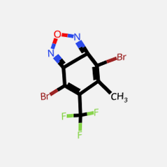 Cc1c(C(F)(F)F)c(Br)c2nonc2c1Br